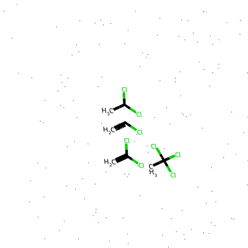 C=C(Cl)Cl.C=CCl.CC(Cl)(Cl)Cl.CC(Cl)Cl